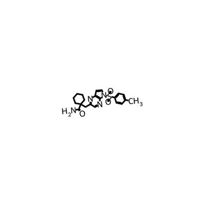 Cc1ccc(S(=O)(=O)n2ccc3nc(CC4(C(N)=O)CCCCC4)cnc32)cc1